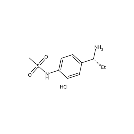 CC[C@@H](N)c1ccc(NS(C)(=O)=O)cc1.Cl